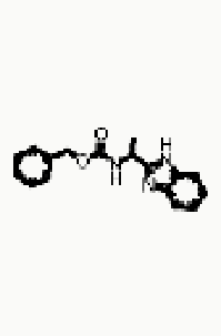 CC(NC(=O)OCc1ccccc1)c1nc2ccccc2[nH]1